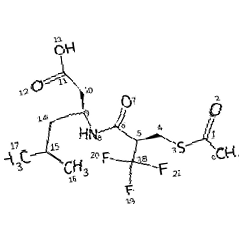 CC(=O)SC[C@H](C(=O)N[C@H](CC(=O)O)CC(C)C)C(F)(F)F